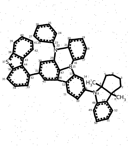 CC12CCCCC1(C)N(c1ccc3c(c1)B1c4ccccc4N(c4ccccc4)c4cc(-c5cccc6sc7ccccc7c56)cc-3c41)c1ccccc12